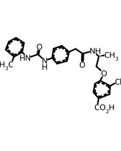 Cc1ccccc1NC(=O)Nc1ccc(CC(=O)N[C@@H](C)COc2ccc(C(=O)O)cc2Cl)cc1